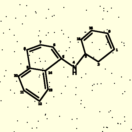 C1=CCC(Nc2cccc3ccccc23)C=C1